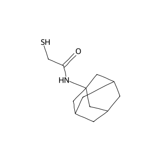 O=C(CS)NC12CC3CC(CC(C3)C1)C2